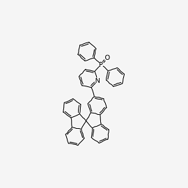 O=P(c1ccccc1)(c1ccccc1)c1cccc(-c2ccc3c(c2)C2(c4ccccc4-c4ccccc42)c2ccccc2-3)n1